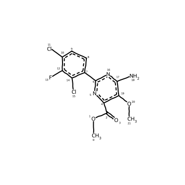 COC(=O)c1nc(-c2ccc(Cl)c(F)c2Cl)nc(N)c1OC